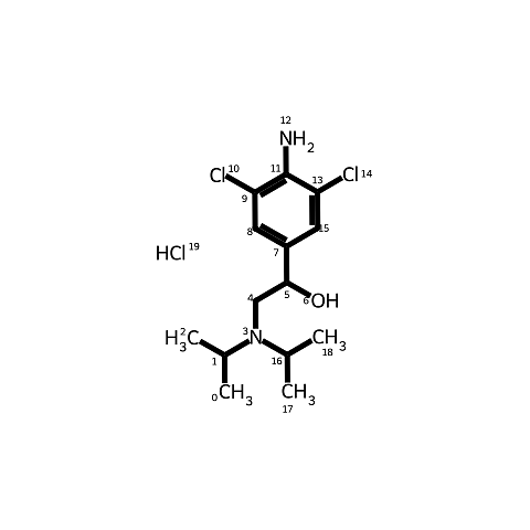 CC(C)N(CC(O)c1cc(Cl)c(N)c(Cl)c1)C(C)C.Cl